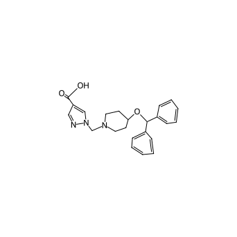 O=C(O)c1cnn(CN2CCC(OC(c3ccccc3)c3ccccc3)CC2)c1